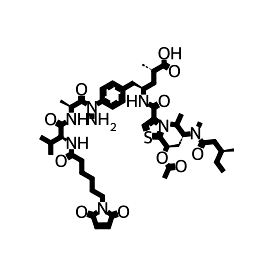 CC[C@H](C)CC(=O)N(C)[C@H](C[C@@H](OC(C)=O)c1nc(C(=O)N[C@@H](Cc2ccc(N(N)C(=O)[C@H](C)NC(=O)[C@@H](NC(=O)CCCCCN3C(=O)C=CC3=O)C(C)C)cc2)C[C@H](C)C(=O)O)cs1)C(C)C